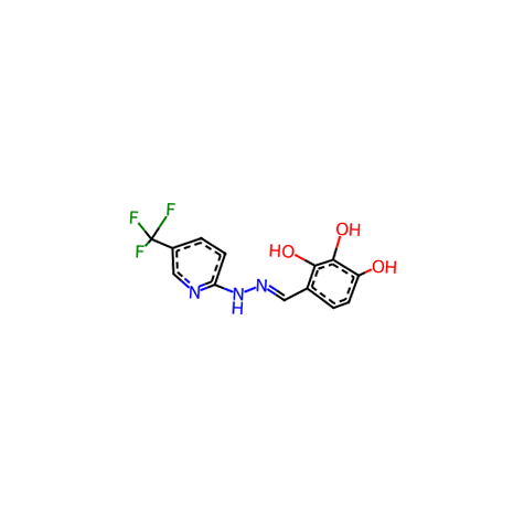 Oc1ccc(C=NNc2ccc(C(F)(F)F)cn2)c(O)c1O